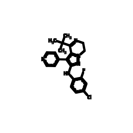 CC(C)(C)C1=NCCn2nc(Nc3ccc(Cl)cc3F)c(-c3ccncc3)c21